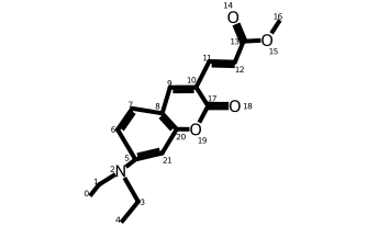 CCN(CC)c1ccc2cc(/C=C/C(=O)OC)c(=O)oc2c1